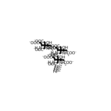 NC(CC(=O)[O-])C(CC(=O)[O-])(CC(=O)[O-])C(N)(O)CC(=O)[O-].NC(CC(=O)[O-])C(CC(=O)[O-])(CC(=O)[O-])C(N)(O)CC(=O)[O-].NC(CC(=O)[O-])C(CC(=O)[O-])(CC(=O)[O-])C(N)(O)CC(=O)[O-].[Fe+3].[Fe+3].[Fe+3].[Fe+3]